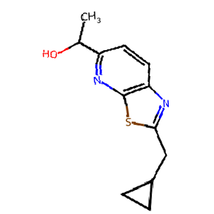 CC(O)c1ccc2nc(CC3CC3)sc2n1